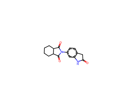 O=C1Cc2ccc(N3C(=O)C4CCCCC4C3=O)cc2N1